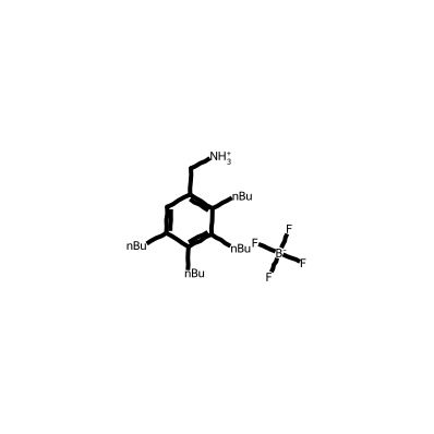 CCCCc1cc(C[NH3+])c(CCCC)c(CCCC)c1CCCC.F[B-](F)(F)F